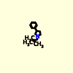 CC(C)(C)CN1CCC(c2ccccc2)C1